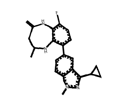 C=C1CC(C)Nc2c(-c3ccc4c(c3)c(C3CC3)nn4C)ccc(F)c2N1